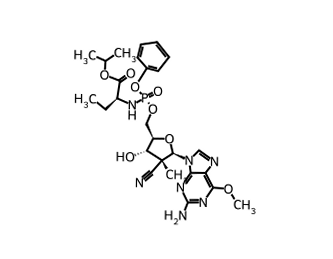 CC[C@H](NP(=O)(OC[C@H]1O[C@@H](n2cnc3c(OC)nc(N)nc32)[C@](C)(C#N)[C@@H]1O)Oc1ccccc1)C(=O)OC(C)C